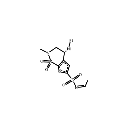 C/C=N\S(=O)(=O)c1cc2c(s1)S(=O)(=O)N(C)C[C@@H]2NCC